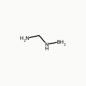 BNCN